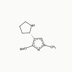 COc1nn(C)cc1[C@@H]1CCCN1